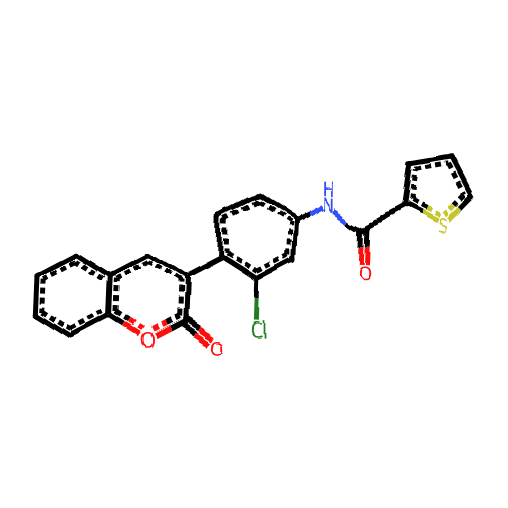 O=C(Nc1ccc(-c2cc3ccccc3oc2=O)c(Cl)c1)c1cccs1